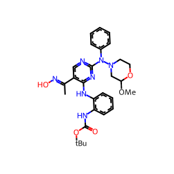 COC1CN(N(c2ccccc2)c2ncc(/C(C)=N/O)c(Nc3ccccc3NC(=O)OC(C)(C)C)n2)CCO1